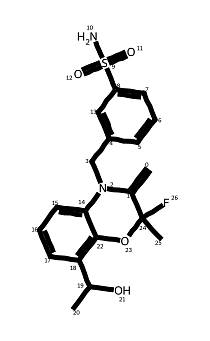 C=C1N(Cc2cccc(S(N)(=O)=O)c2)c2cccc(C(C)O)c2OC1(C)F